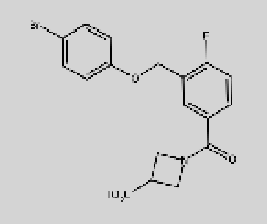 O=C(O)C1CN(C(=O)c2ccc(F)c(COc3ccc(Br)cc3)c2)C1